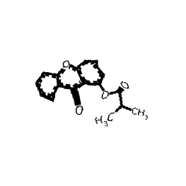 CC(C)C(=O)Oc1cccc2oc3ccccc3c(=O)c12